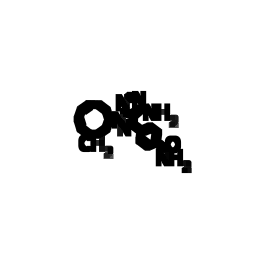 C=C1/C=C\C=C/CCC(n2nc(-c3ccc(C(N)=O)cc3)c3c(N)ncnc32)CC1